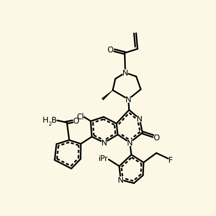 BC(=O)c1ccccc1-c1nc2c(cc1Cl)c(N1CCN(C(=O)C=C)C[C@@H]1C)nc(=O)n2-c1c(CF)ccnc1C(C)C